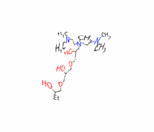 CCC(O)COCC(O)COCC(O)C[N+](C)(CCN(C)C)CCN(C)C